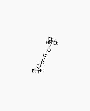 CCC(C)(CC)NCCOCCOCCOCCNC(C)(CC)CC